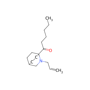 C=CCN1CC2CCC1(C(=O)CCCCC)CC2